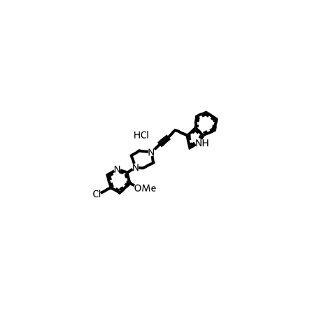 COc1cc(Cl)cnc1N1CCN(C#CCc2c[nH]c3ccccc23)CC1.Cl